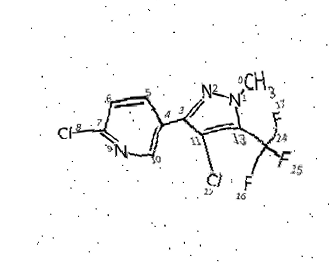 Cn1nc(-c2ccc(Cl)nc2)c(Cl)c1C(F)(F)F